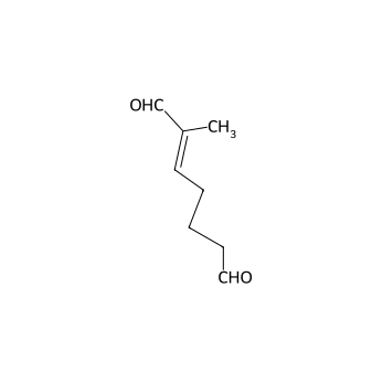 C/C(C=O)=C\CCCC=O